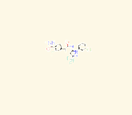 CNC(=O)c1ccc(C(C)C(=O)N(C)c2cc(C(F)(F)F)nn2-c2cccc(Cl)c2)cc1F